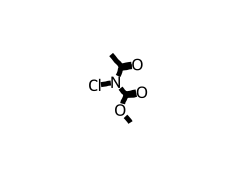 COC(=O)N(Cl)C(C)=O